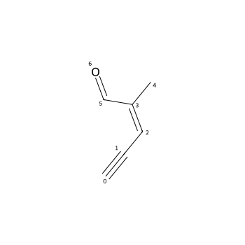 C#CC=C(C)C=O